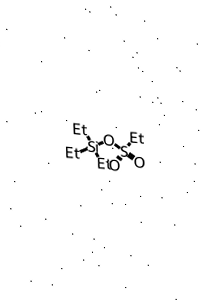 CC[Si](CC)(CC)OS(=O)(=O)CC